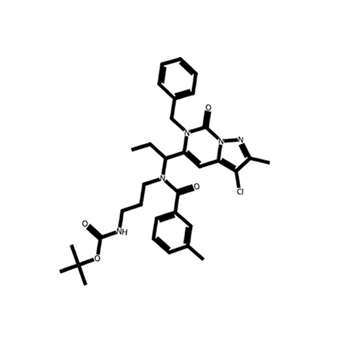 CCC(c1cc2c(Cl)c(C)nn2c(=O)n1Cc1ccccc1)N(CCCNC(=O)OC(C)(C)C)C(=O)c1cccc(C)c1